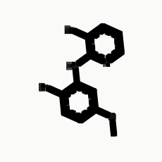 COc1ccc(Br)c(Nc2ncccc2Br)c1